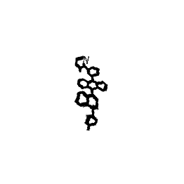 Cc1ccc(-c2ccc(-c3c4ccccc4c(-c4cccc(-c5ncccc5C)c4)c4ccccc34)c3ccccc23)cc1